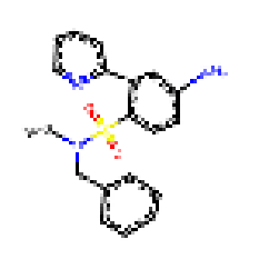 CON(Cc1ccccc1)S(=O)(=O)c1ccc(N)cc1-c1ccccn1